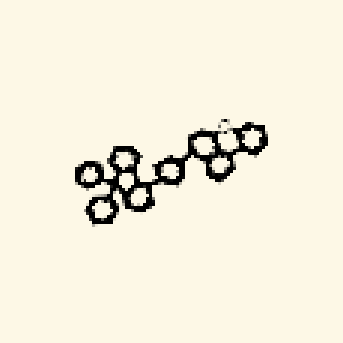 c1ccc(C2(c3ccccc3)c3ccccc3-c3c(-c4ccc(-c5ccc6c7c(cccc57)-c5ccccc5O6)cc4)cccc32)cc1